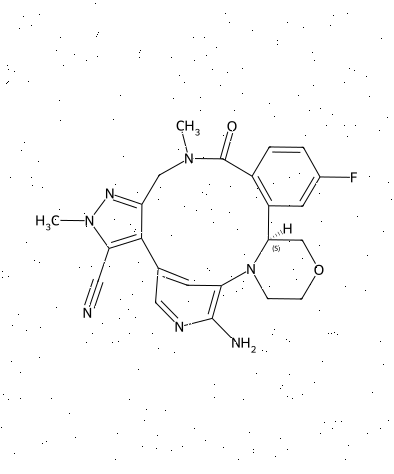 CN1Cc2nn(C)c(C#N)c2-c2cnc(N)c(c2)N2CCOC[C@@H]2c2cc(F)ccc2C1=O